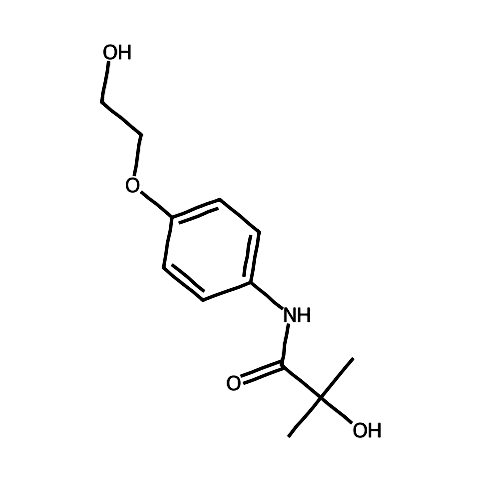 CC(C)(O)C(=O)Nc1ccc(OCCO)cc1